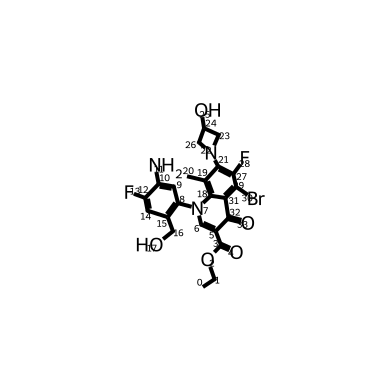 CCOC(=O)c1cn(-c2cc(N)c(F)cc2CO)c2c(C)c(N3CC(O)C3)c(F)c(Br)c2c1=O